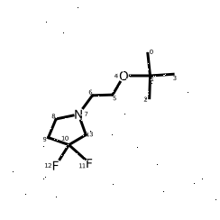 CC(C)(C)OCCN1CCC(F)(F)C1